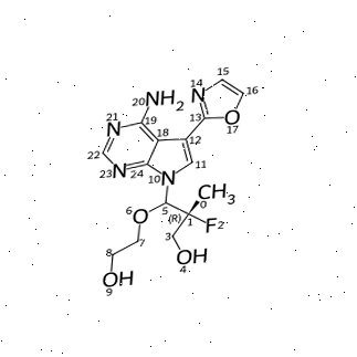 C[C@@](F)(CO)C(OCCO)n1cc(-c2ncco2)c2c(N)ncnc21